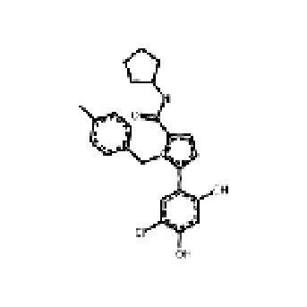 Cc1ccc(Cn2c(C(=O)NC3CCCC3)ccc2-c2cc(Cl)c(O)cc2O)cc1